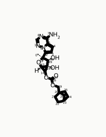 C[C@@]1(c2ccc3c(N)ncnn23)O[C@@H]2C(OC(=O)OCC34CCC(CC3)C4)[C@]2(O)[C@H]1O